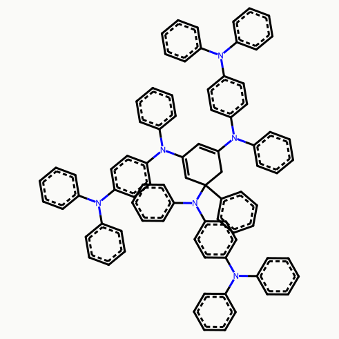 C1=C(N(c2ccccc2)c2ccc(N(c3ccccc3)c3ccccc3)cc2)C=C(N(c2ccccc2)c2ccc(N(c3ccccc3)c3ccccc3)cc2)CC1(c1ccccc1)N(c1ccccc1)c1ccc(N(c2ccccc2)c2ccccc2)cc1